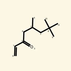 C=CC(=O)CC(C)CC(C)(C)C